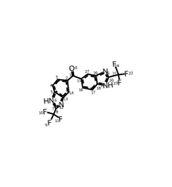 O=C(c1ccc2[nH]c(C(F)(F)F)nc2c1)c1ccc2[nH]c(C(F)(F)F)nc2c1